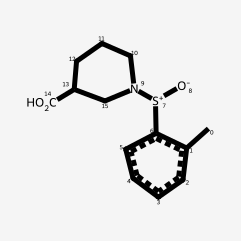 Cc1ccccc1[S+]([O-])N1CCCC(C(=O)O)C1